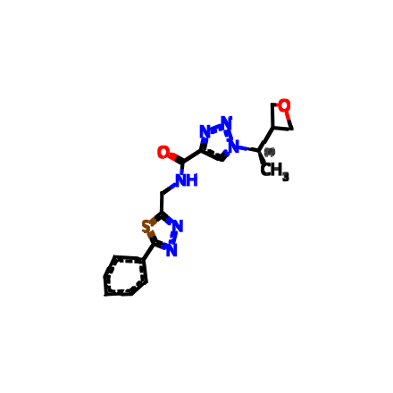 C[C@H](C1COC1)n1cc(C(=O)NCc2nnc(-c3ccccc3)s2)nn1